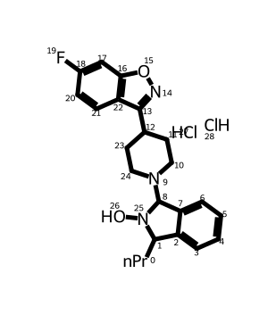 CCCC1c2ccccc2C(N2CCC(c3noc4cc(F)ccc34)CC2)N1O.Cl.Cl